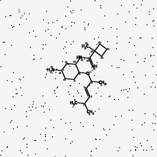 CC(C)/C=C/C(C)OC1CCC(N)CC1NC(=N)C1(C)CCC1